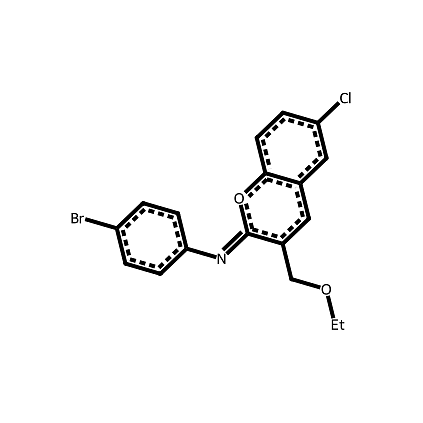 CCOCc1cc2cc(Cl)ccc2o/c1=N\c1ccc(Br)cc1